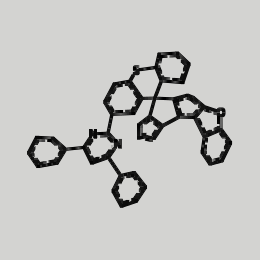 c1ccc(-c2cc(-c3ccccc3)nc(-c3ccc4c(c3)C3(c5ccccc5S4)c4ccccc4-c4c3ccc3oc5ccccc5c43)n2)cc1